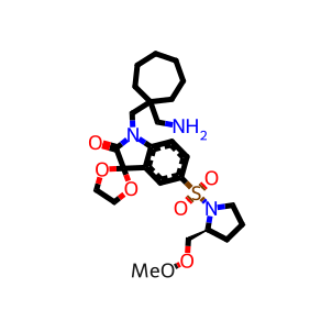 COOC[C@@H]1CCCN1S(=O)(=O)c1ccc2c(c1)C1(OCCO1)C(=O)N2CC1(CN)CCCCCC1